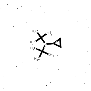 CC(C)(C)P(C1CC1)C(C)(C)C